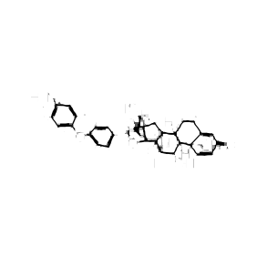 C[C@]12C=CC(=O)C=C1CC[C@@H]1[C@@H]2[C@@H](O)C[C@@]2(C)[C@H]1C[C@H]1O[C@@H](c3ccc(Oc4ccc(N)cc4)cc3)O[C@]12C(=O)CO